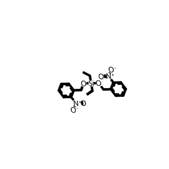 CC[Si](CC)(OCc1ccccc1[N+](=O)[O-])OCc1ccccc1[N+](=O)[O-]